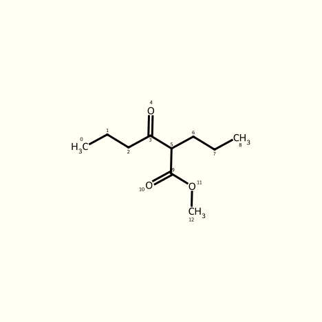 CCCC(=O)C(CCC)C(=O)OC